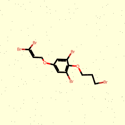 BrCCCOc1c(Br)cc(OCC=C(Br)Br)cc1Br